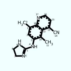 Cc1cc(NC2=NCCN2)c(C)c2c(C#N)ccnc12